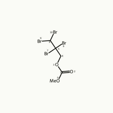 COC(=O)OCC(Br)(Br)C(Br)Br